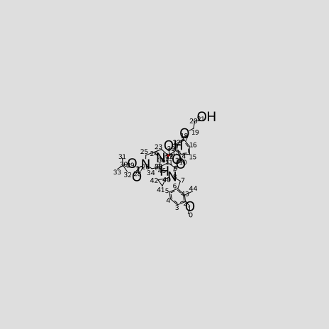 COc1cccc(CN(C(=O)C2=C(c3cccc(OCCO)c3)CC3CN(C(=O)OC(C)(C)C)C[C@H]2N3C(=O)O)C2CC2)c1C